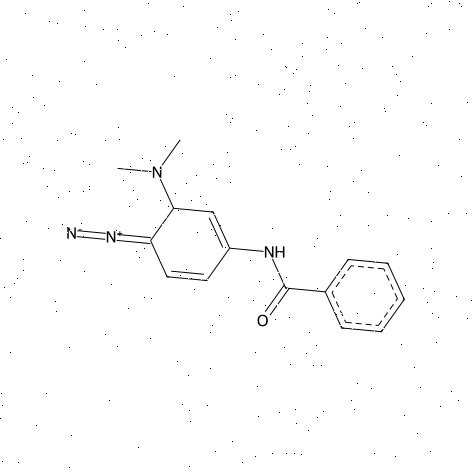 CN(C)C1C=C(NC(=O)c2ccccc2)C=CC1=[N+]=[N-]